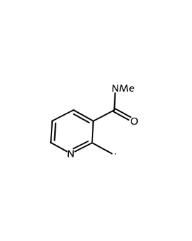 [CH2]c1ncccc1C(=O)NC